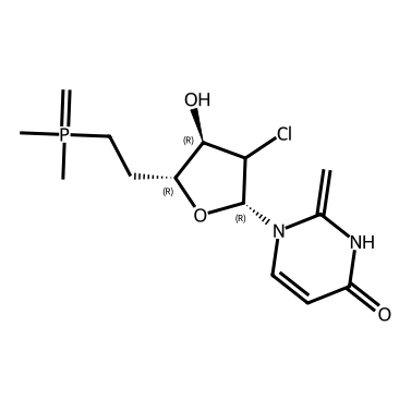 C=C1NC(=O)C=CN1[C@@H]1O[C@H](CCP(=C)(C)C)[C@@H](O)C1Cl